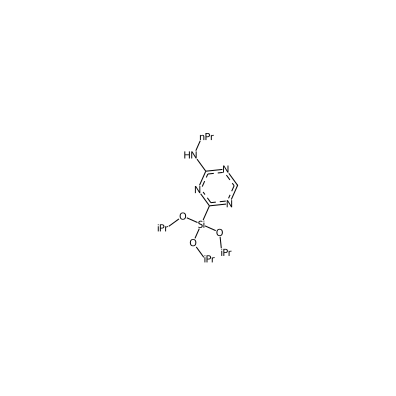 CCCNc1ncnc([Si](OC(C)C)(OC(C)C)OC(C)C)n1